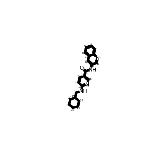 O=C(Nc1cnc2ccccc2c1)c1ccc(NCC2CCCCC2)nc1